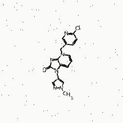 Cn1cc(-n2c3cccn(Cc4ccc(Cl)nc4)c-3nc2=O)cn1